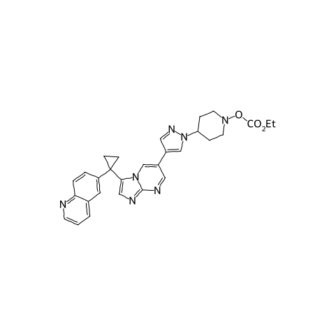 CCOC(=O)ON1CCC(n2cc(-c3cnc4ncc(C5(c6ccc7ncccc7c6)CC5)n4c3)cn2)CC1